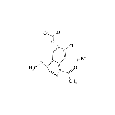 COc1cnc(C(C)=O)c2cc(Cl)ncc12.O=C([O-])[O-].[K+].[K+]